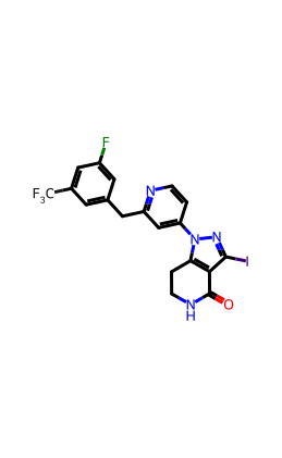 O=C1NCCc2c1c(I)nn2-c1ccnc(Cc2cc(F)cc(C(F)(F)F)c2)c1